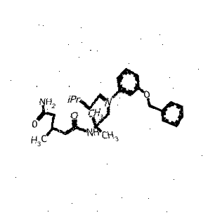 CC(C)CCN(CC(C)(C)NC(=O)CC(C)CC(N)=O)c1cccc(OCc2ccccc2)c1